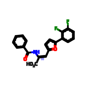 O=C(O)/C(=C/c1ccc(-c2cccc(F)c2F)o1)NC(=O)c1ccccc1